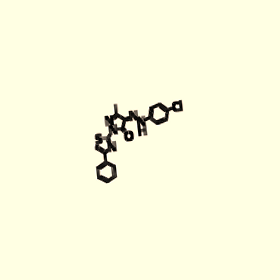 CC1=NN(c2nc(-c3ccccc3)cs2)C(=O)/C1=N\Nc1ccc(Cl)cc1